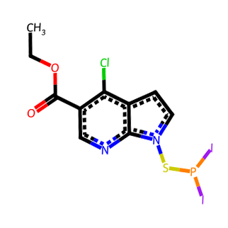 CCOC(=O)c1cnc2c(ccn2SP(I)I)c1Cl